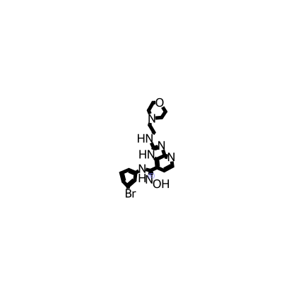 O/N=C(/Nc1cccc(Br)c1)c1ccnc2nc(NCCN3CCOCC3)[nH]c12